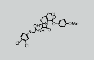 COc1ccc(OC(=O)C2=C(CCl)CS[C@H]3C(NC(=O)CSc4ccc(Cl)c(Cl)c4)C(=O)N23)cc1